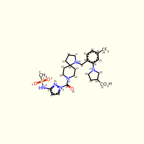 CS(=O)(=O)Nc1ccn(C(=O)N2CCC3(CCCN3Cc3ccc(C(F)(F)F)cc3N3CCC(C(=O)O)C3)CC2)n1